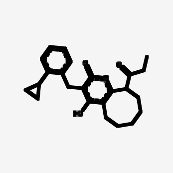 CCC(=O)C1CCCCCc2c1oc(=O)c(Cc1ccccc1C1CC1)c2O